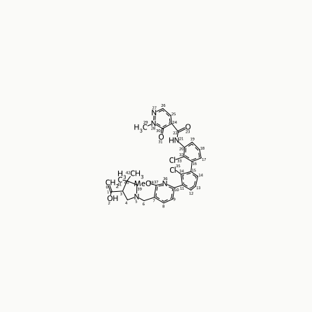 C=C(O)C1CN(Cc2ccc(-c3cccc(-c4cccc(NC(=O)c5ccnn(C)c5=O)c4Cl)c3Cl)nc2OC)CC1(C)C